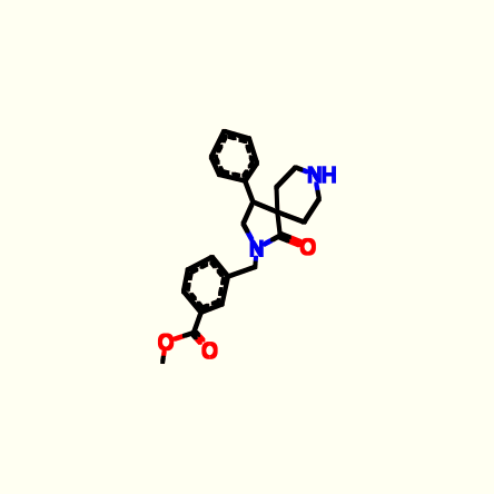 COC(=O)c1cccc(CN2CC(c3ccccc3)C3(CCNCC3)C2=O)c1